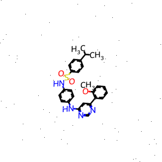 COc1ccccc1-c1cc(Nc2ccc(NS(=O)(=O)c3ccc(C(C)C)cc3)cc2)ncn1